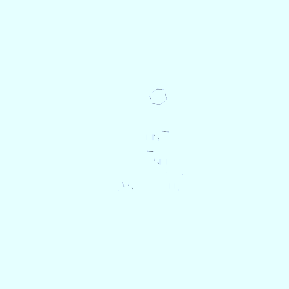 CC(C)[C@@H]1C[C@H](NC(=O)O)CC[C@@H]1NC(=O)CNC(=O)OCc1ccccc1